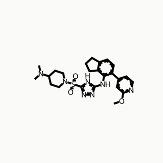 COc1cc(-c2ccc3c(c2Nc2nnc(S(=O)(=O)N4CCC(N(C)C)CC4)[nH]2)CCC3)ccn1